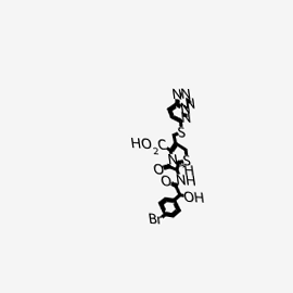 O=C(O)C1=C(CSc2ccc3nnnn3n2)CS[C@H]2C(NC(=O)C(O)c3ccc(Br)cc3)C(=O)N12